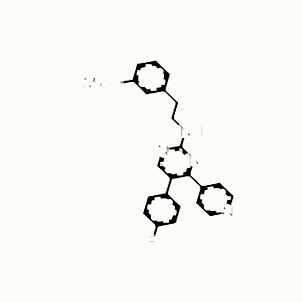 COc1cccc(CCNc2ncc(-c3ccc(F)cc3)c(-c3ccncc3)n2)c1